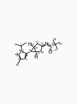 CC(C)n1nc(I)cc1[C@H]1[C@@H]2CC(=N[S@@+]([O-])C(C)(C)C)C[C@@H]21